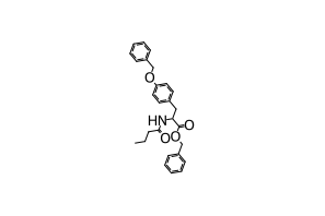 CCCC(=O)NC(Cc1ccc(OCc2ccccc2)cc1)C(=O)OCc1ccccc1